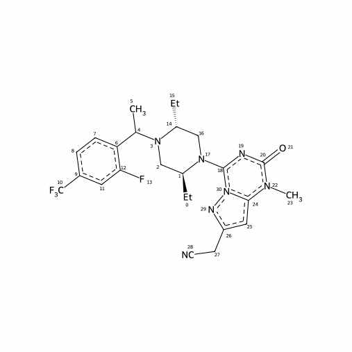 CC[C@H]1CN(C(C)c2ccc(C(F)(F)F)cc2F)[C@H](CC)CN1c1nc(=O)n(C)c2cc(CC#N)nn12